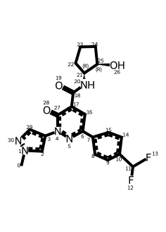 Cn1cc(-n2nc(-c3ccc(C(F)F)cc3)cc(C(=O)N[C@@H]3CCC[C@H]3O)c2=O)cn1